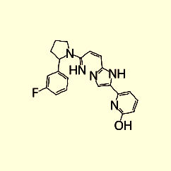 N=C(/C=C\c1ncc(-c2cccc(O)n2)[nH]1)N1CCCC1c1cccc(F)c1